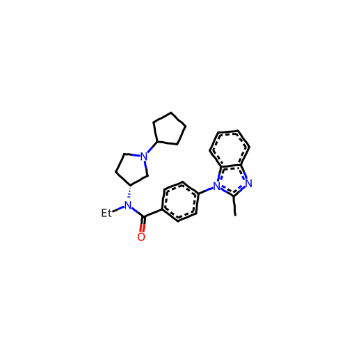 CCN(C(=O)c1ccc(-n2c(C)nc3ccccc32)cc1)[C@@H]1CCN(C2CCCC2)C1